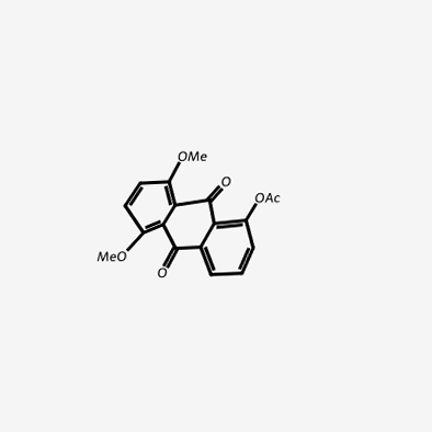 COc1ccc(OC)c2c1C(=O)c1cccc(OC(C)=O)c1C2=O